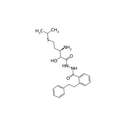 CC(C)SCC[C@@H](N)C(O)C(=O)NNC(=O)c1ccccc1CCc1ccccc1